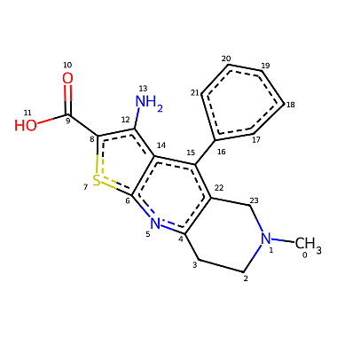 CN1CCc2nc3sc(C(=O)O)c(N)c3c(-c3ccccc3)c2C1